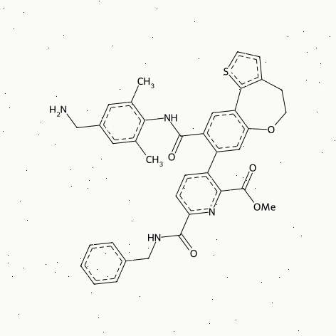 COC(=O)c1nc(C(=O)NCc2ccccc2)ccc1-c1cc2c(cc1C(=O)Nc1c(C)cc(CN)cc1C)-c1sccc1CCO2